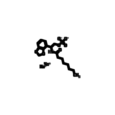 CCCCCCCC(=O)NC(COP(=O)([O-])[O-])c1cccc2c1OCO2.[Na+].[Na+]